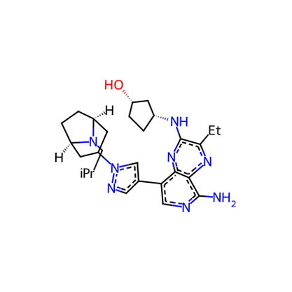 CCc1nc2c(N)ncc(-c3cnn(C4C[C@H]5CC[C@@H](C4)N5CC(C)C)c3)c2nc1N[C@@H]1CC[C@H](O)C1